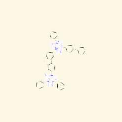 c1ccc(-c2ccc(-c3nc(-c4ccccc4)nc(-c4ccc5sc6cc(-c7nc(-c8ccccc8)nc(-c8ccccc8)n7)ccc6c5c4)n3)cc2)cc1